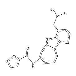 CCN(CC)Cc1cccc2c3cccc(NC(=O)c4ccoc4)cc-3nc12